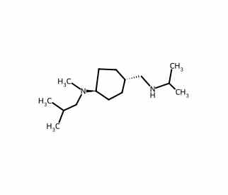 CC(C)CN(C)[C@H]1CC[C@H](CNC(C)C)CC1